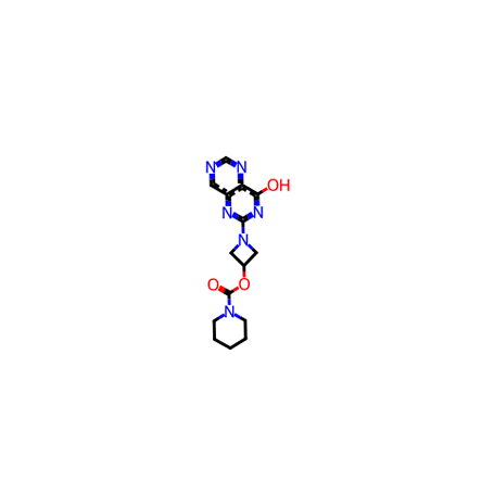 O=C(OC1CN(c2nc(O)c3ncncc3n2)C1)N1CCCCC1